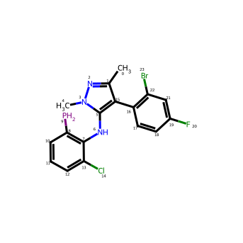 Cc1nn(C)c(Nc2c(P)cccc2Cl)c1-c1ccc(F)cc1Br